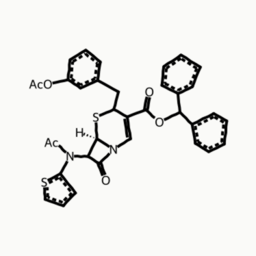 CC(=O)Oc1cccc(CC2S[C@@H]3C(N(C(C)=O)c4cccs4)C(=O)N3C=C2C(=O)OC(c2ccccc2)c2ccccc2)c1